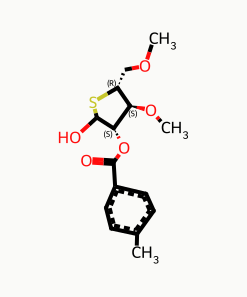 COC[C@H]1SC(O)[C@@H](OC(=O)c2ccc(C)cc2)[C@@H]1OC